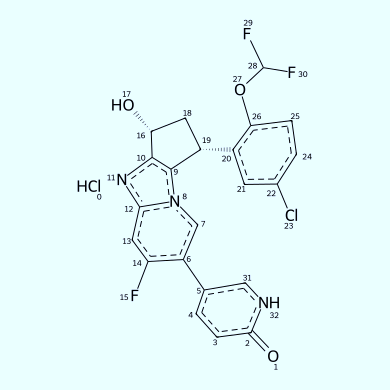 Cl.O=c1ccc(-c2cn3c4c(nc3cc2F)[C@H](O)C[C@@H]4c2cc(Cl)ccc2OC(F)F)c[nH]1